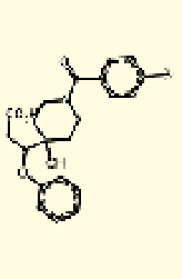 O=C(O)CC(Oc1ccccc1)C1(O)CCN(C(=O)c2ccc(Br)cc2)CC1